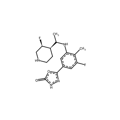 Cc1c(F)cc(-c2n[nH]c(=O)o2)cc1NC(C)[C@H]1CCNC[C@H]1F